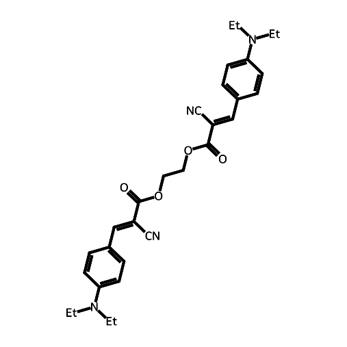 CCN(CC)c1ccc(/C=C(\C#N)C(=O)OCCOC(=O)/C(C#N)=C/c2ccc(N(CC)CC)cc2)cc1